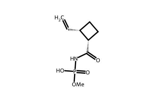 C=C[C@@H]1CC[C@@H]1C(=O)NP(=O)(O)OC